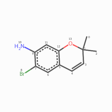 CC1(C)C=Cc2cc(Br)c(N)cc2O1